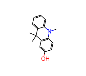 CN1c2ccccc2C(C)(C)c2cc(O)ccc21